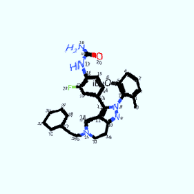 Cc1cccc(OCC(C)C)c1-n1nc2c(c1-c1ccc(NC(N)=O)c(F)c1)CN(CC1CCCCC1)CC2